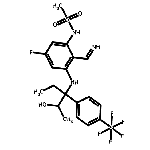 CCC(Nc1cc(F)cc(NS(C)(=O)=O)c1C=N)(c1ccc(S(F)(F)(F)(F)F)cc1)C(C)O